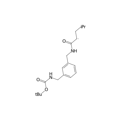 CC(C)C[CH]C(=O)NCc1cccc(CNC(=O)OC(C)(C)C)c1